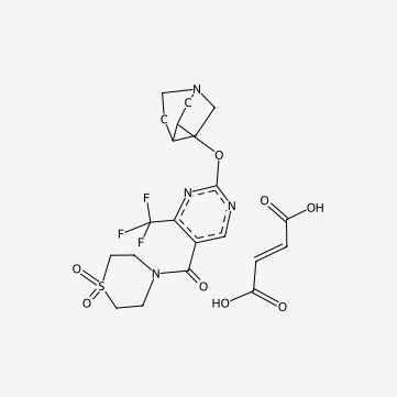 O=C(O)/C=C/C(=O)O.O=C(c1cnc(OC2CN3CCC2CC3)nc1C(F)(F)F)N1CCS(=O)(=O)CC1